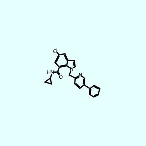 O=C(NC1CC1)c1cc(Cl)cc2ccn(Cc3ccc(-c4ccccc4)cn3)c12